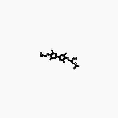 CC(=O)OCC(O)COc1c(C)cc(-c2cc(C)c(OCC3CO3)c(C)c2)cc1C